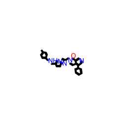 Cc1ccc(CNCc2ccc3nc(Cn4ccc5c(-c6ccccc6)cncc5c4=O)cn3c2)cc1